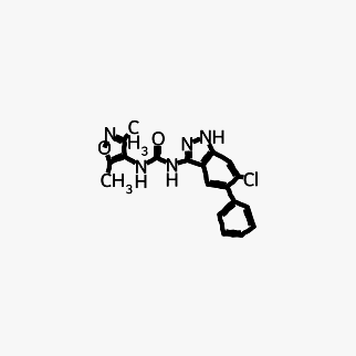 Cc1noc(C)c1NC(=O)Nc1n[nH]c2cc(Cl)c(-c3ccccc3)cc12